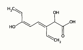 C=C/C(O)=C\C=C(/C=C)C(O)C(=O)O